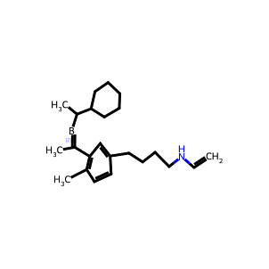 C=CNCCCCc1ccc(C)c(/C(C)=B\C(C)C2CCCCC2)c1